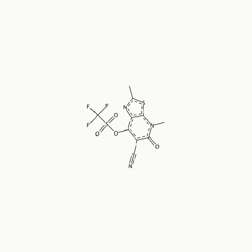 Cc1nc2c(OS(=O)(=O)C(F)(F)F)c(C#N)c(=O)n(C)c2s1